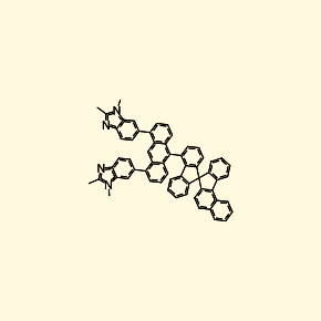 Cc1nc2ccc(-c3cccc4c(-c5cccc6c5-c5ccccc5C65c6ccccc6-c6c5ccc5ccccc65)c5cccc(-c6ccc7nc(C)n(C)c7c6)c5cc34)cc2n1C